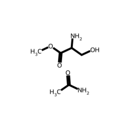 CC(N)=O.COC(=O)C(N)CO